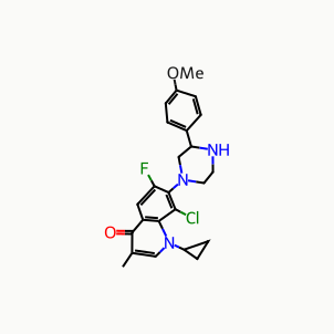 COc1ccc(C2CN(c3c(F)cc4c(=O)c(C)cn(C5CC5)c4c3Cl)CCN2)cc1